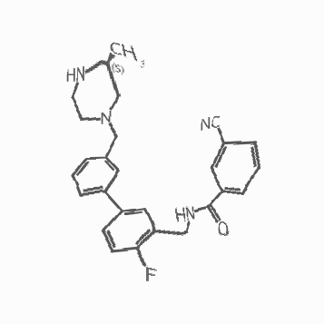 C[C@H]1CN(Cc2cccc(-c3ccc(F)c(CNC(=O)c4cccc(C#N)c4)c3)c2)CCN1